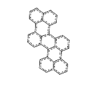 c1cc2cccc3c2c(c1)c1cccc2c1c3c1cccc3c4cccc5cccc(c54)c2c31